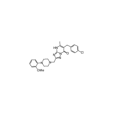 COc1ccccc1N1CCN(Cc2nc3[nH]c(C)c(Cc4ccc(Cl)cc4)c(=O)n3n2)CC1